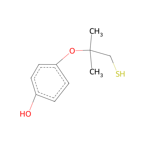 CC(C)(CS)Oc1ccc(O)cc1